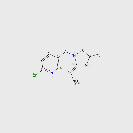 CC1CN(Cc2ccc(Cl)nc2)C(=C[N+](=O)[O-])N1